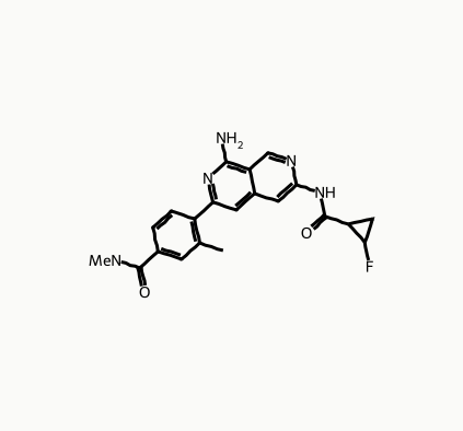 CNC(=O)c1ccc(-c2cc3cc(NC(=O)C4CC4F)ncc3c(N)n2)c(C)c1